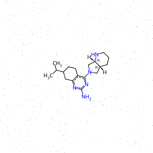 CC(C)C1CCc2c(nc(N)nc2N2C[C@H]3CCCN[C@H]3C2)C1